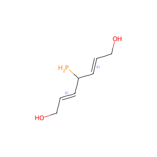 OC/C=C/C(P)/C=C/CO